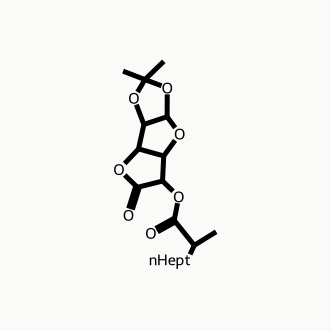 CCCCCCCC(C)C(=O)OC1C(=O)OC2C3OC(C)(C)OC3OC12